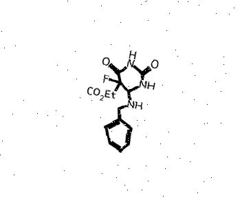 CCOC(=O)C1(F)C(=O)NC(=O)NC1NCc1ccccc1